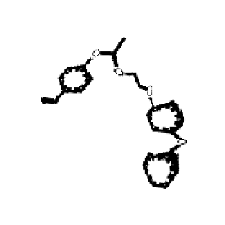 C=Cc1ccc(OC(C)OCCOc2ccc(Oc3ccccc3)cc2)cc1